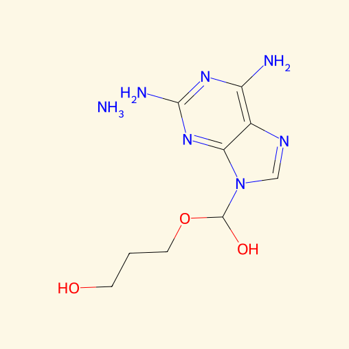 N.Nc1nc(N)c2ncn(C(O)OCCCO)c2n1